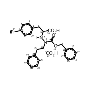 CC(C)c1ccc(C[C@H](NN(C(=O)OCc2ccccc2)[C@@H](Cc2ccccc2)C(=O)O)C(=O)O)cc1